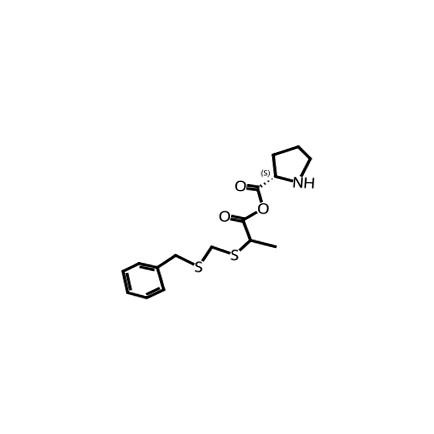 CC(SCSCc1ccccc1)C(=O)OC(=O)[C@@H]1CCCN1